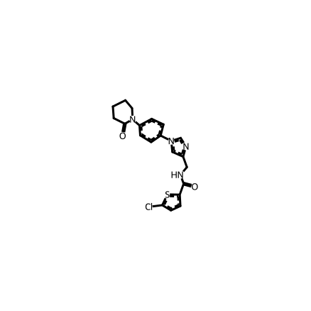 O=C(NCc1cn(-c2ccc(N3CCCCC3=O)cc2)cn1)c1ccc(Cl)s1